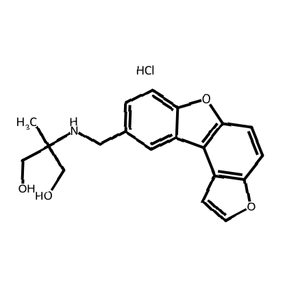 CC(CO)(CO)NCc1ccc2oc3ccc4occc4c3c2c1.Cl